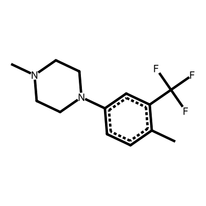 Cc1ccc(N2CCN(C)CC2)cc1C(F)(F)F